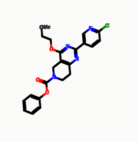 COCCOc1nc(-c2ccc(Cl)nc2)nc2c1CN(C(=O)Oc1ccccc1)CC2